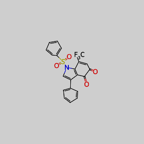 O=C1C=C(C(F)(F)F)c2c(c(-c3ccccc3)cn2S(=O)(=O)c2ccccc2)C1=O